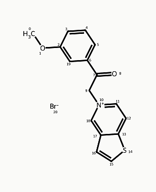 COc1cccc(C(=O)C[n+]2ccc3sccc3c2)c1.[Br-]